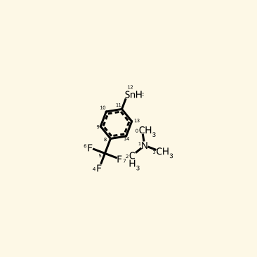 CN(C)C.FC(F)(F)c1cc[c]([SnH])cc1